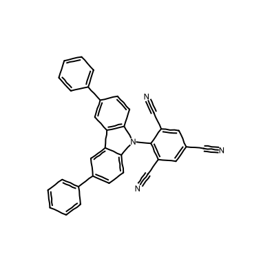 N#Cc1cc(C#N)c(-n2c3ccc(-c4ccccc4)cc3c3cc(-c4ccccc4)ccc32)c(C#N)c1